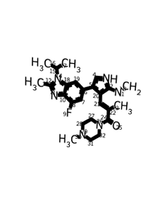 C=Nc1[nH]cc(-c2cc(F)c3nc(C)n(C(C)C)c3c2)c1/C=C(\C)C(=O)N1CCN(C)CC1